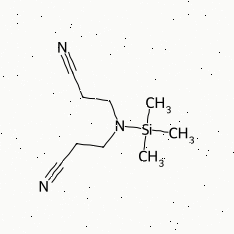 C[Si](C)(C)N(CCC#N)CCC#N